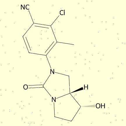 Cc1c(N2C[C@@H]3[C@H](O)CCN3C2=O)ccc(C#N)c1Cl